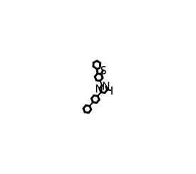 Ic1cc(-c2ccc(-c3ccccc3)cc2)nc(-c2ccc3c(c2)sc2ccccc23)n1